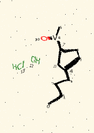 CCCCC1=CC[C]([V]([CH3])=[O])=C1.Cl.Cl